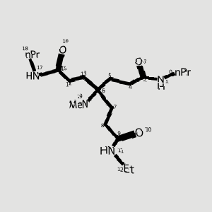 CCCNC(=O)CCC(CCC(=O)NCC)(CCC(=O)NCCC)NC